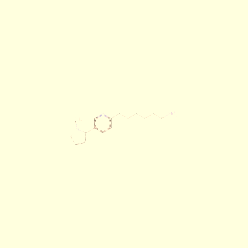 CN1CCCC1c1ccc(CCCCCCN)nc1